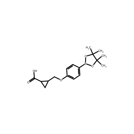 CC1(C)OB(c2ccc(OCC3CC3C(=O)O)cc2)OC1(C)C